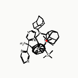 C[Si](C)(C)[C]12[CH]3[C]4(C(P)(c5cnccn5)c5cnccn5)[C]5(CP(C6C7CC8CC(C7)CC6C8)C6C7CC8CC(C7)CC6C8)[C]1([Si](C)(C)C)[Fe]35421678[CH]2[CH]1[CH]6[CH]7[CH]28